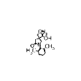 CCC1(C(=O)O)CC(=O)N(c2c(C)cccc2C)C1